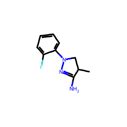 CC1CN(c2ccccc2F)N=C1N